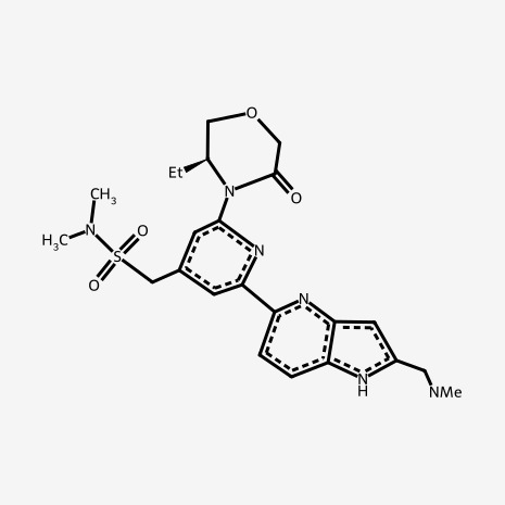 CC[C@H]1COCC(=O)N1c1cc(CS(=O)(=O)N(C)C)cc(-c2ccc3[nH]c(CNC)cc3n2)n1